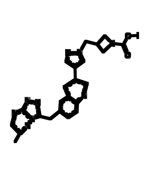 Cc1cnc2nnc(Cc3ccc4ncc(-c5cnn(CC6CN(C(=O)OI)C6)c5)cc4c3)n2n1